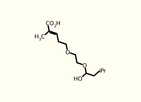 CC(=CCCOCCOC(O)CC(C)C)C(=O)O